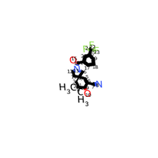 CC1(C)C[C@@]2(C=C(C#N)C1=O)CCN(C(=O)c1cccc(C(F)(F)F)c1)C2